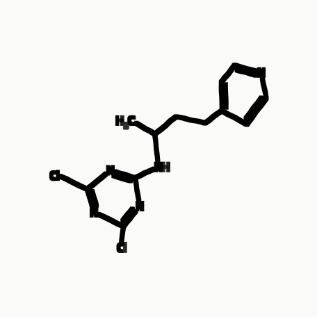 CC(CCc1ccncc1)Nc1nc(Cl)nc(Cl)n1